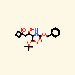 CC(C)(C)OC(=O)C(NC(=O)OCc1ccccc1)C(O)CC1(O)CCC1